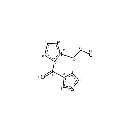 O=C(c1ccsc1)c1cccn1CCCl